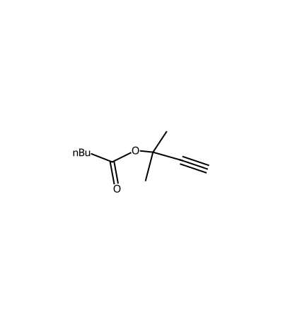 C#CC(C)(C)OC(=O)CCC[CH2]